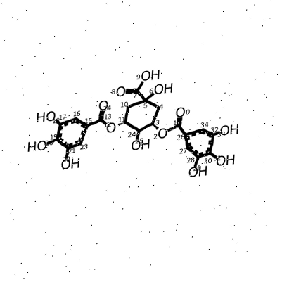 O=C(O[C@@H]1CC(O)(C(=O)O)C[C@@H](OC(=O)c2cc(O)c(O)c(O)c2)C1O)c1cc(O)c(O)c(O)c1